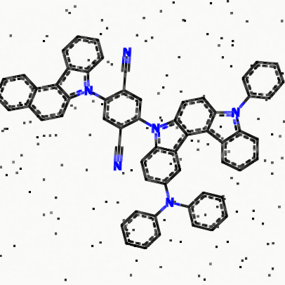 N#Cc1cc(-n2c3ccc(N(c4ccccc4)c4ccccc4)cc3c3c4c5ccccc5n(-c5ccccc5)c4ccc32)c(C#N)cc1-n1c2ccccc2c2c3ccccc3ccc21